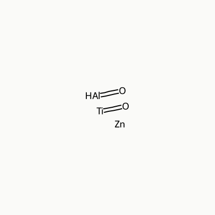 [O]=[AlH].[O]=[Ti].[Zn]